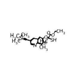 CCOC(=O)C(C)(S)Oc1cc2cc(C#C[Si](C)(C)C)cnc2c(C)c1F